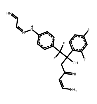 N=C/C=N\Nc1ccc(C(F)(F)C(O)(CC(=N)/C=C\N)c2ccc(F)cc2F)nc1